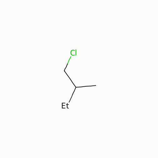 [CH2]CC(C)CCl